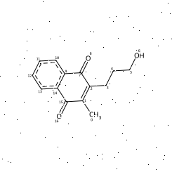 CC1=C(CCCO)C(=O)c2ccccc2C1=O